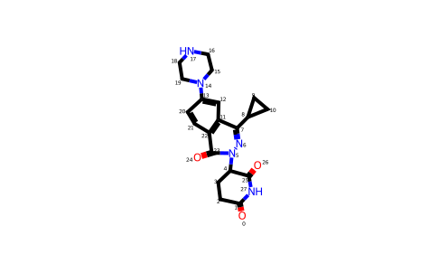 O=C1CCC(n2nc(C3CC3)c3cc(N4CCNCC4)ccc3c2=O)C(=O)N1